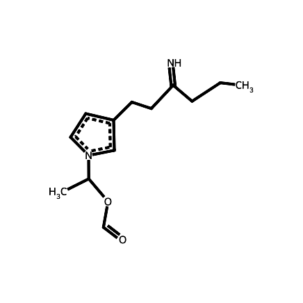 CCCC(=N)CCc1ccn(C(C)OC=O)c1